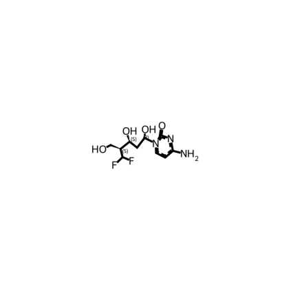 Nc1ccn([C@H](O)C[C@H](O)[C@H](CO)C(F)F)c(=O)n1